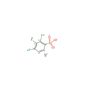 O=S(=O)([O-])c1ccc(F)c(F)c1F.[Li+]